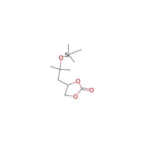 CC(C)(CC1COC(=O)O1)O[Si](C)(C)C